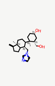 C=C1CCC2[C@H](Cn3ccnc3)C([C@@]3(C)CC[C@H](O)C[C@@H]3CO)CC[C@]12C